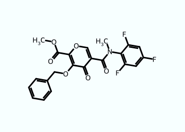 COC(=O)c1occ(C(=O)N(C)c2c(F)cc(F)cc2F)c(=O)c1OCc1ccccc1